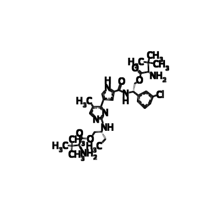 CC[C@H](COC(=O)[C@@H](N)C(C)(C)C)Nc1ncc(C)c(-c2c[nH]c(C(=O)N[C@H](COC(=O)[C@@H](N)C(C)(C)C)c3cccc(Cl)c3)c2)n1